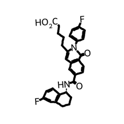 O=C(O)CCCCc1cc2cc(C(=O)N[C@@H]3CCCc4cc(F)ccc43)ccc2c(=O)n1-c1ccc(F)cc1